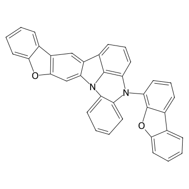 c1ccc2c(c1)N(c1cccc3c1oc1ccccc13)c1cccc3c4cc5c(cc4n-2c13)oc1ccccc15